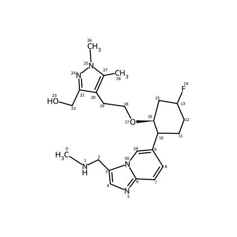 CNCc1cnc2ccc(C3CCC(F)C[C@@H]3OCCc3c(CO)nn(C)c3C)cn12